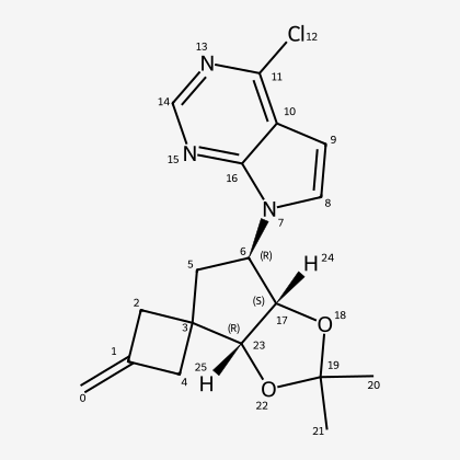 C=C1CC2(C1)C[C@@H](n1ccc3c(Cl)ncnc31)[C@@H]1OC(C)(C)O[C@@H]12